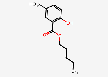 O=C(OCCCCC(F)(F)F)c1cc(S(=O)(=O)O)ccc1O